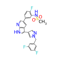 CS(=O)(=O)Nc1cc(-c2cnc3[nH]cc(-c4cnn(Cc5cc(F)cc(F)c5)c4)c3c2)ccc1F